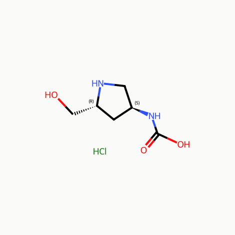 Cl.O=C(O)N[C@@H]1CN[C@@H](CO)C1